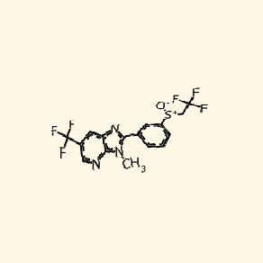 Cn1c(-c2cccc([S+]([O-])CC(F)(F)F)c2)nc2cc(C(F)(F)F)cnc21